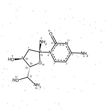 Nc1ccn([C@@]2(N)C[C@H](O)[C@@H](C(N)O)O2)c(=O)n1